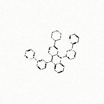 c1ccc(-c2cccc(-c3c4ccccc4c(-c4cccc(-c5ccccn5)c4)c4cc(C5CCCCC5)ccc34)c2)nc1